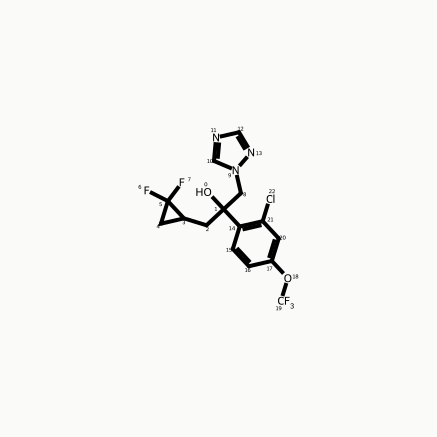 OC(CC1CC1(F)F)(Cn1cncn1)c1ccc(OC(F)(F)F)cc1Cl